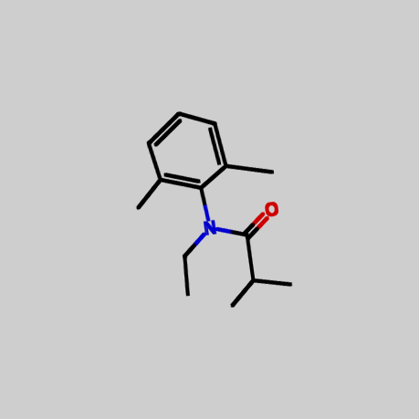 CCN(C(=O)C(C)C)c1c(C)cccc1C